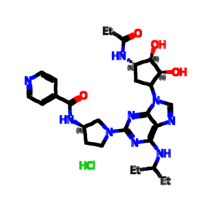 CCC(=O)N[C@H]1CC(n2cnc3c(NC(CC)CC)nc(N4CC[C@@H](NC(=O)c5ccncc5)C4)nc32)[C@H](O)[C@@H]1O.Cl